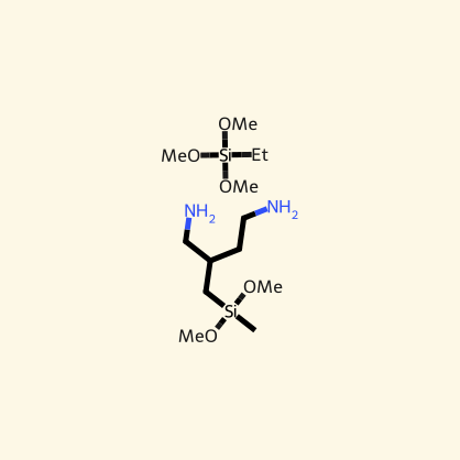 CC[Si](OC)(OC)OC.CO[Si](C)(CC(CN)CCN)OC